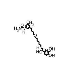 Cc1cc(CCCCOCCCCCCNCC(O)c2ccc(O)c(CO)n2)cc(NC(N)=O)c1